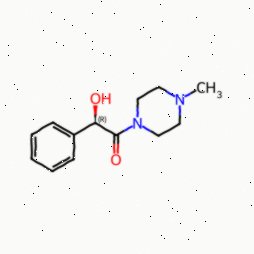 CN1CCN(C(=O)[C@H](O)c2ccccc2)CC1